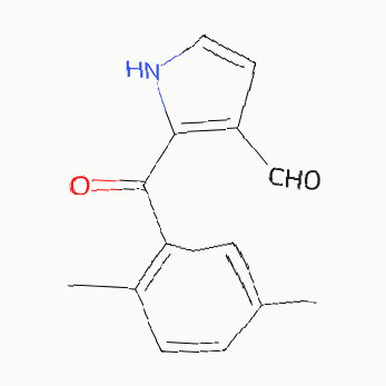 Cc1ccc(C)c(C(=O)c2[nH]ccc2C=O)c1